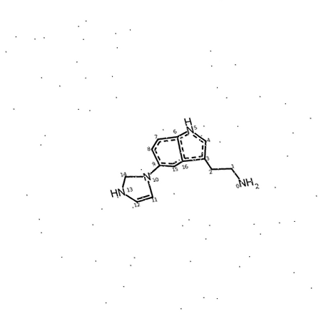 NCCc1c[nH]c2ccc(N3C=CNC3)cc12